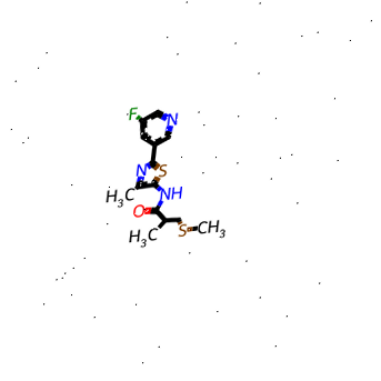 CSCC(C)C(=O)Nc1sc(-c2cncc(F)c2)nc1C